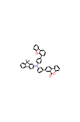 CC1(C)c2ccccc2-c2ccc(N(c3ccc(-c4cccc5c4oc4ccccc45)cc3)c3cccc(-c4ccc5c(c4)c(=O)oc4ccccc45)c3)cc21